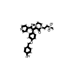 CC(C)c1ccc(COc2ccc(-c3c(-c4ccncc4)nn4c3C(=O)N(CCS(C)(=O)=O)CC4)cc2)cc1